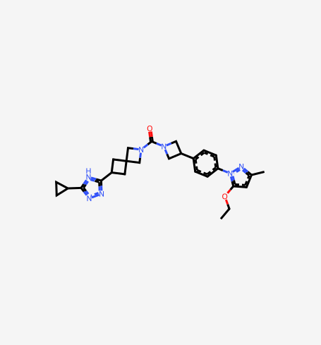 CCOc1cc(C)nn1-c1ccc(C2CN(C(=O)N3CC4(CC(c5nnc(C6CC6)[nH]5)C4)C3)C2)cc1